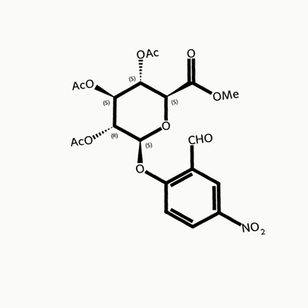 COC(=O)[C@H]1O[C@@H](Oc2ccc([N+](=O)[O-])cc2C=O)[C@H](OC(C)=O)[C@@H](OC(C)=O)[C@@H]1OC(C)=O